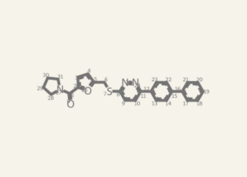 O=C(c1ccc(CSc2ccc(-c3ccc(-c4ccccc4)cc3)nn2)o1)N1CCCC1